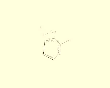 Cl.Clc1ccccc1.NN